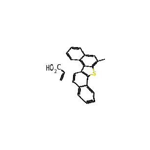 C=CC(=O)O.Cc1cc2ccccc2c2c1sc1c3ccccc3ccc12